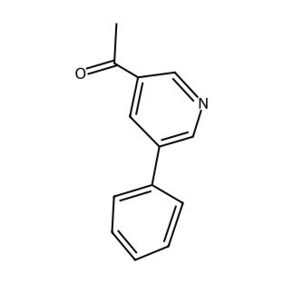 CC(=O)c1cncc(-c2ccccc2)c1